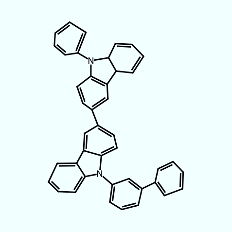 C1=CC2c3cc(-c4ccc5c(c4)c4ccccc4n5-c4cccc(-c5ccccc5)c4)ccc3N(c3ccccc3)C2C=C1